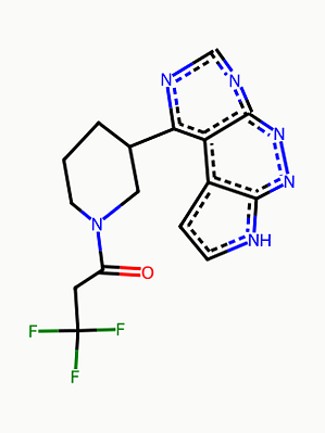 O=C(CC(F)(F)F)N1CCCC(c2ncnc3nnc4[nH]ccc4c23)C1